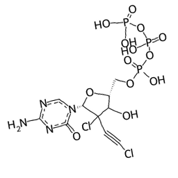 Nc1ncn([C@@H]2O[C@H](COP(=O)(O)OP(=O)(O)OP(=O)(O)O)C(O)C2(Cl)C#CCl)c(=O)n1